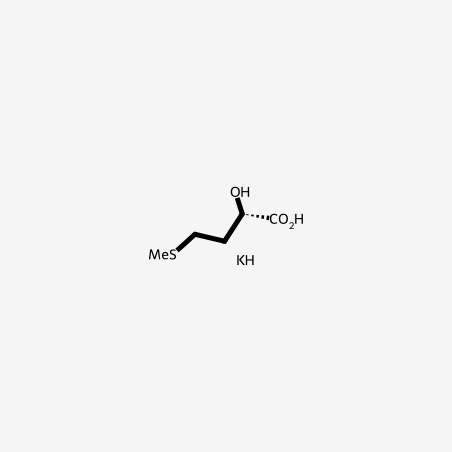 CSCC[C@H](O)C(=O)O.[KH]